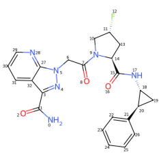 NC(=O)c1nn(CC(=O)N2C[C@H](F)C[C@H]2C(=O)N[C@@H]2C[C@H]2c2ccccc2)c2ncccc12